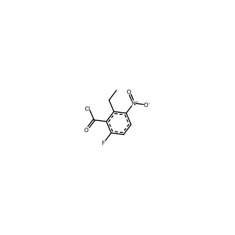 CCc1c([N+](=O)[O-])ccc(F)c1C(=O)Cl